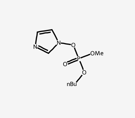 CCCCOP(=O)(OC)On1ccnc1